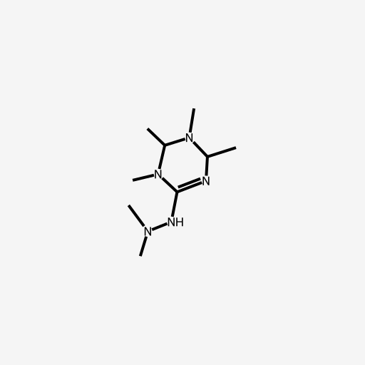 CC1N=C(NN(C)C)N(C)C(C)N1C